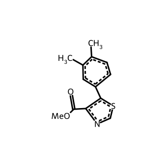 COC(=O)c1ncsc1-c1ccc(C)c(C)c1